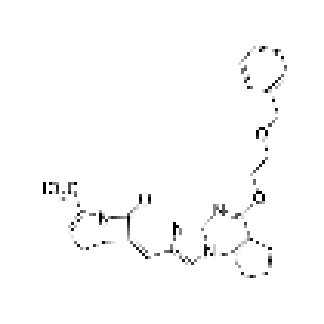 O=C(O)C1=CCC2C(=Cc3cn4c5c(c(OCCOCc6ccccc6)nc4n3)CCC5)C(=O)N12